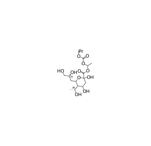 CC(C)OC(=O)OC(C)OC(=O)C1(O)CC(O)C([C@@H](C)O)C(C[C@H](O)CO)O1